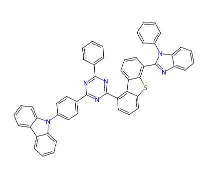 c1ccc(-c2nc(-c3ccc(-n4c5ccccc5c5ccccc54)cc3)nc(-c3cccc4sc5c(-c6nc7ccccc7n6-c6ccccc6)cccc5c34)n2)cc1